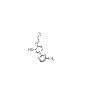 COCCO[C@H]1CCN(c2nccc(N)n2)C[C@@H]1O